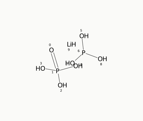 O=P(O)(O)O.OP(O)O.[LiH]